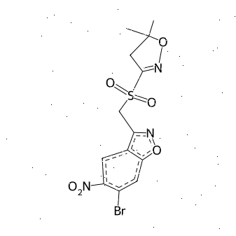 CC1(C)CC(S(=O)(=O)Cc2noc3cc(Br)c([N+](=O)[O-])cc23)=NO1